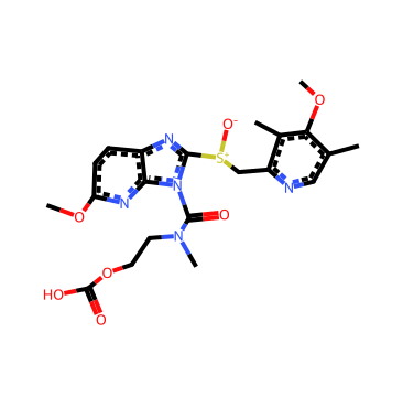 COc1ccc2nc([S+]([O-])Cc3ncc(C)c(OC)c3C)n(C(=O)N(C)CCOC(=O)O)c2n1